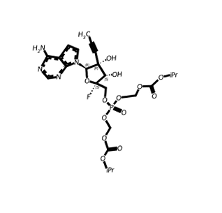 CC#C[C@]1(O)[C@H](n2ccc3c(N)ncnc32)O[C@](F)(COP(=O)(OCOC(=O)OC(C)C)OCOC(=O)OC(C)C)[C@H]1O